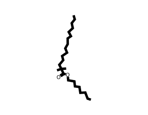 CCCCCCCCCCCCCC(C)(C)C(=O)OCCCCCCCC